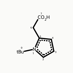 CC(C)(C)n1cccc1CC(=O)O